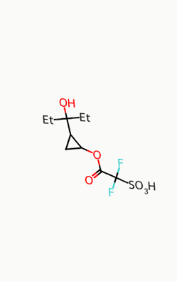 CCC(O)(CC)C1CC1OC(=O)C(F)(F)S(=O)(=O)O